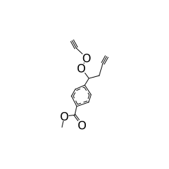 C#CCC(OOC#C)c1ccc(C(=O)OC)cc1